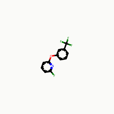 Fc1cccc(Oc2cccc(C(F)(F)F)c2)n1